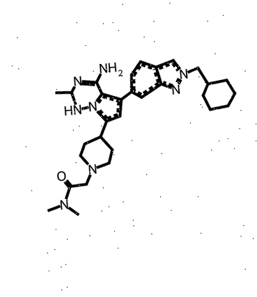 CC1N=C(N)c2c(-c3ccc4cn(CC5CCCCC5)nc4c3)cc(C3CCN(CC(=O)N(C)C)CC3)n2N1